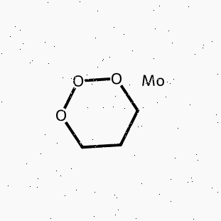 C1COOOC1.[Mo]